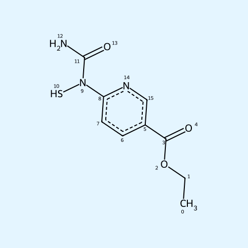 CCOC(=O)c1ccc(N(S)C(N)=O)nc1